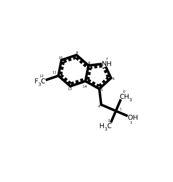 CC(C)(O)Cc1c[nH]c2ccc(C(F)(F)F)cc12